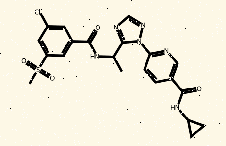 CC(NC(=O)c1cc(Cl)cc(S(C)(=O)=O)c1)c1ncnn1-c1ccc(C(=O)NC2CC2)cn1